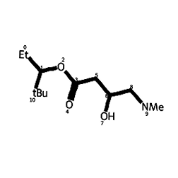 CCC(OC(=O)CC(O)CNC)C(C)(C)C